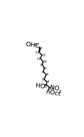 CCCCCCCCC(C(O)CCCCCCCCC/C=C/[C]=O)[N+](=O)[O-]